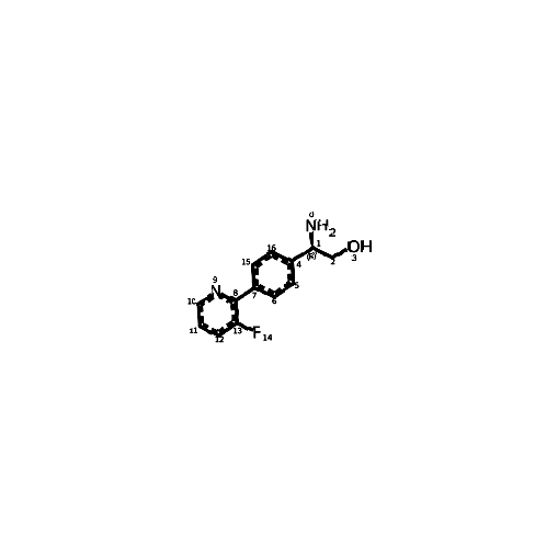 N[C@@H](CO)c1ccc(-c2ncccc2F)cc1